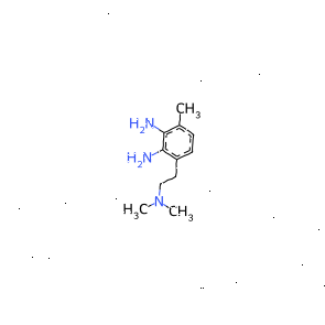 Cc1ccc(CCN(C)C)c(N)c1N